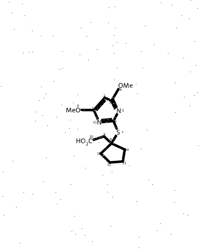 COc1cc(OC)nc(SC2(CC(=O)O)CCCC2)n1